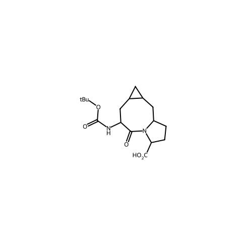 CC(C)(C)OC(=O)NC1CC2CC2CC2CCC(C(=O)O)N2C1=O